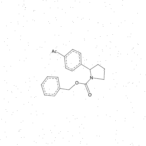 CC(=O)c1ccc(C2CCCN2C(=O)OCc2ccccc2)cc1